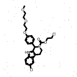 COCCOCCOc1ccc(C2c3[nH]c4ccc(Cl)cc4c3CCN2C(=O)OCCCl)cc1